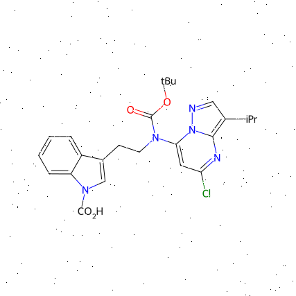 CC(C)c1cnn2c(N(CCc3cn(C(=O)O)c4ccccc34)C(=O)OC(C)(C)C)cc(Cl)nc12